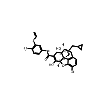 C=CSc1cc(NC(=O)C2=C(O)[C@@H]3Oc4c(O)ccc5c4[C@@]34CCN(CC3CC3)[C@H](C5)[C@]4(O)C2)ccc1N